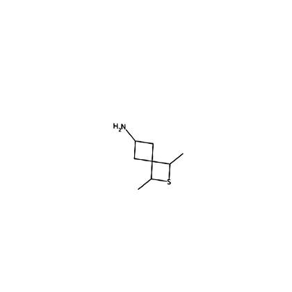 CC1SC(C)C12CC(N)C2